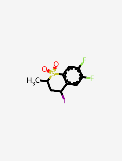 CC1CC(I)c2cc(F)c(F)cc2S1(=O)=O